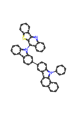 c1ccc(-n2c3ccc(-c4ccc5c6ccccc6n(-c6c7ccccc7nc7c6sc6ccccc67)c5c4)cc3c3ccc4ccccc4c32)cc1